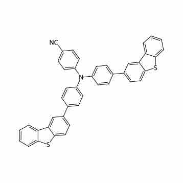 N#Cc1ccc(N(c2ccc(-c3ccc4sc5ccccc5c4c3)cc2)c2ccc(-c3ccc4sc5ccccc5c4c3)cc2)cc1